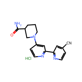 Cl.N#Cc1ccnc(-c2cc(N3CCCC(C(N)=O)C3)ccn2)c1